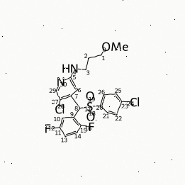 COCCCNc1cc(C(c2cc(F)ccc2F)S(=O)(=O)c2ccc(Cl)cc2)c(Cl)cn1